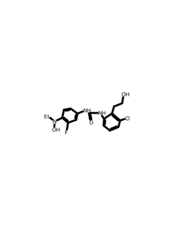 CCN(O)c1ccc(NC(=O)Nc2cccc(Cl)c2CCO)cc1F